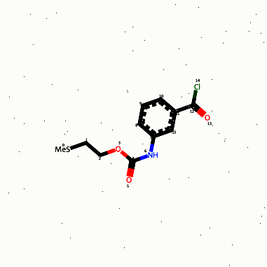 CSCCOC(=O)Nc1cccc(C(=O)Cl)c1